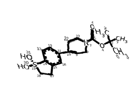 CC(C)(C)OC(=O)N1CC=C(c2ccc3c(c2)CCS3(O)O)CC1